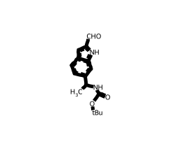 CC(NC(=O)OC(C)(C)C)c1ccc2cc(C=O)[nH]c2c1